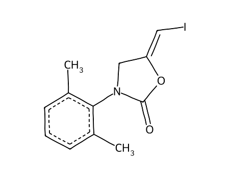 Cc1cccc(C)c1N1CC(=CI)OC1=O